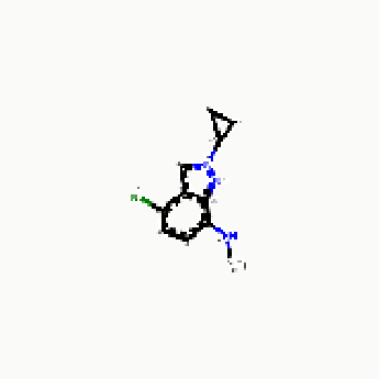 CNc1ccc(Br)c2cn(C3CC3)nc12